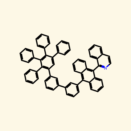 c1ccc(-c2cc(-c3cccc(-c4cccc(-c5c6ccccc6c(-c6nccc7ccccc67)c6ccccc56)c4)c3)c(-c3ccccc3)c(-c3ccccc3)c2-c2ccccc2)cc1